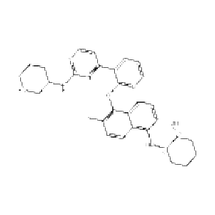 Cc1ccc2c(N[C@@H]3CCCC[C@H]3O)cccc2c1Oc1ncccc1-c1ccnc(NC2CCCNC2)n1